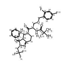 CC1N(C(=O)[C@@H](COCc2ccc(F)cc2F)NC(=O)C(C)(C)N)CCC2=NN(CC(F)(F)F)C(=O)[C@]21c1ccccn1